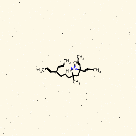 CC=CC(C=CC)CCCC(C)(C)CC(C=CC)(C=CC)NC